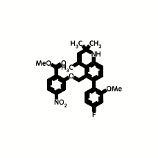 COC(=O)c1ccc([N+](=O)[O-])cc1OCc1c(-c2ccc(F)cc2OC)ccc2c1C(C)=CC(C)(C)N2